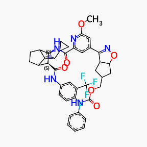 COc1cc(C2=NOC3CC(COC(=O)Nc4ccccc4)CC23)cc(C(=O)N[C@@H]2C3CCC(/C3=C/C3CC3)[C@@H]2C(=O)Nc2ccc(F)c(C(F)(F)F)c2)n1